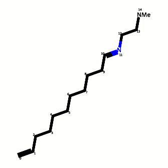 C=CCCCCCCCC/C=N/CCNC